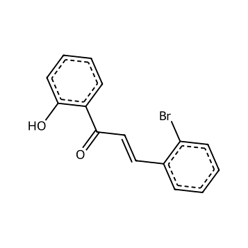 O=C(C=Cc1ccccc1Br)c1ccccc1O